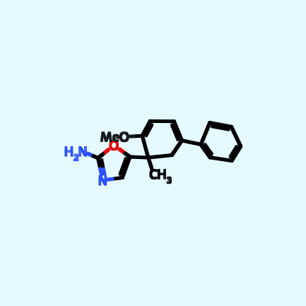 COC1=CC=C(c2ccccc2)CC1(C)c1cnc(N)o1